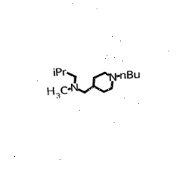 CCCCN1CCC(CN(C)CC(C)C)CC1